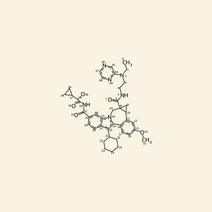 CCN(CCNC(=O)C12CC1c1cc(OC)ccc1-c1c(C3CCCCC3)c3ccc(C(=O)NS(=O)(=O)C4CC4)cc3n1C2)c1cnccn1